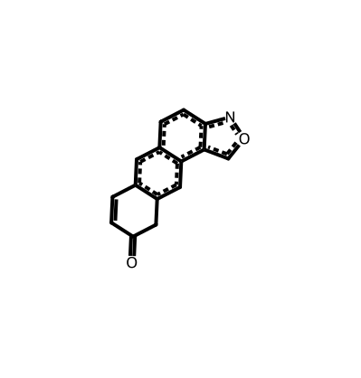 O=C1C=Cc2cc3ccc4nocc4c3cc2C1